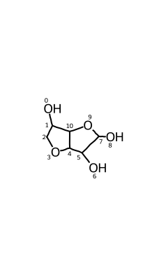 OC1COC2C(O)C(O)OC12